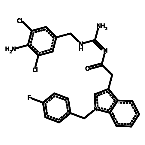 N/C(=N/C(=O)Cc1cn(Cc2ccc(F)cc2)c2ccccc12)NCc1cc(Cl)c(N)c(Cl)c1